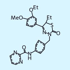 CCOc1cc(C2=NN(Cc3ccc(NC(=O)c4ncccn4)cc3)C(=O)SC2CC)ccc1OC